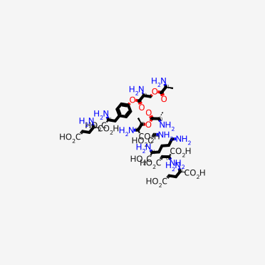 C[C@H](N)C(=O)OC[C@H](N)C(=O)Oc1ccc(C[C@H](N)C(=O)O)cc1.C[C@H](N)C(=O)O[C@H](C)[C@H](N)C(=O)O.NCC(=O)O.NCCCC[C@H](N)C(=O)O.N[C@@H](CC(=O)O)C(=O)O.N[C@@H](CCC(=O)O)C(=O)O.N[C@@H](CCC(=O)O)C(=O)O